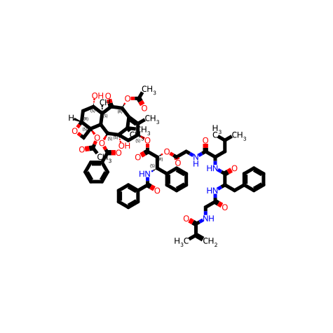 C=C(C)C(=O)NCC(=O)NC(Cc1ccccc1)C(=O)NC(CC(C)C)C(=O)NCC(=O)O[C@@H](C(=O)O[C@H]1C[C@@]2(O)[C@@H](OC(=O)c3ccccc3)C3[C@](C)(C(=O)[C@H](OC(C)=O)C(=C1C)C2(C)C)[C@@H](O)C[C@H]1OC[C@@]31OC(C)=O)[C@@H](NC(=O)c1ccccc1)c1ccccc1